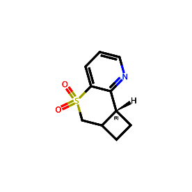 O=S1(=O)CC2CC[C@H]2c2ncccc21